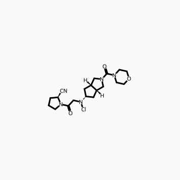 N#C[C@@H]1CCCN1C(=O)CN(Cl)[C@@H]1C[C@@H]2CN(C(=O)N3CCOCC3)C[C@@H]2C1